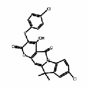 CC1(C)c2cc(Cl)ccc2-n2c1cc1oc(=O)c(Sc3ccc(Cl)cc3)c(O)c1c2=O